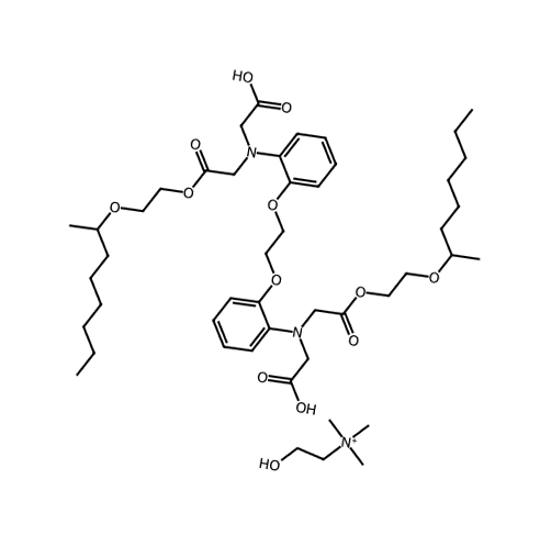 CCCCCCC(C)OCCOC(=O)CN(CC(=O)O)c1ccccc1OCCOc1ccccc1N(CC(=O)O)CC(=O)OCCOC(C)CCCCCC.C[N+](C)(C)CCO